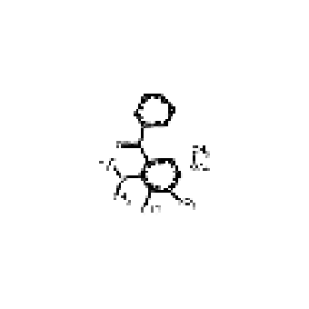 CN(C)c1c(C(=O)c2ccccc2)ccc([N+](=O)[O-])c1C=O.COC(C)=O